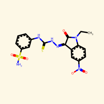 CCN1C(=O)C(=NNC(=S)Nc2cccc(S(N)(=O)=O)c2)c2cc([N+](=O)[O-])ccc21